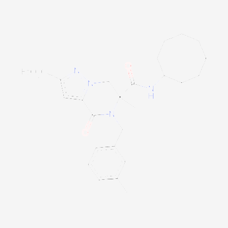 CCOC(=O)c1cc2n(n1)CC(C)(C(=O)NC1CCCCCCC1)N(Cc1cccc(C)c1)C2=O